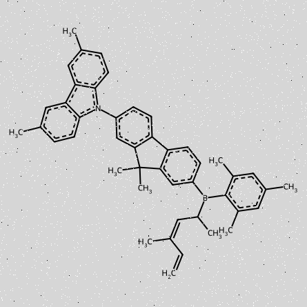 C=C/C(C)=C\C(C)B(c1ccc2c(c1)C(C)(C)c1cc(-n3c4ccc(C)cc4c4cc(C)ccc43)ccc1-2)c1c(C)cc(C)cc1C